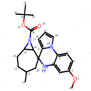 COc1ccc2c(c1)NC1(CC(C)CCC3C1N3C(=O)OC(C)(C)C)c1cccn1-2